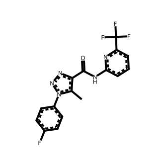 Cc1c(C(=O)Nc2cccc(C(F)(F)F)n2)nnn1-c1ccc(F)cc1